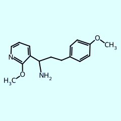 COc1ccc(CCC(N)c2cccnc2OC)cc1